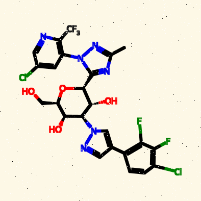 Cc1nc([C@@H]2O[C@H](CO)[C@H](O)[C@H](n3cc(-c4ccc(Cl)c(F)c4F)cn3)[C@H]2O)n(-c2cc(Cl)cnc2C(F)(F)F)n1